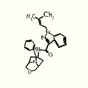 CC(C)=CCn1nc(C(=O)NC2CC3COCC(C2)N3Cc2ccccc2)c2ccccc21